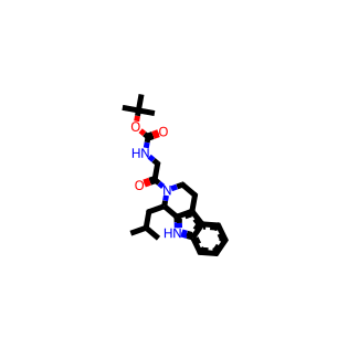 CC(C)CC1c2[nH]c3ccccc3c2CCN1C(=O)CNC(=O)OC(C)(C)C